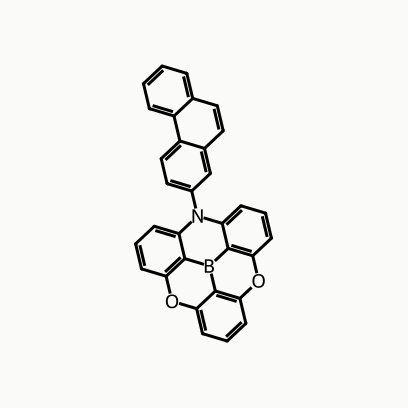 c1cc2c3c(c1)Oc1cccc4c1B3c1c(cccc1N4c1ccc3c(ccc4ccccc43)c1)O2